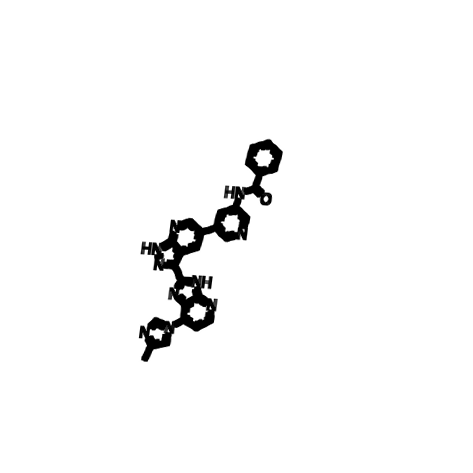 Cc1cn(-c2ccnc3[nH]c(-c4n[nH]c5ncc(-c6cncc(NC(=O)c7ccccc7)c6)cc45)nc23)cn1